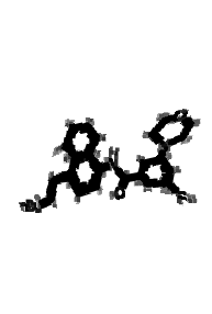 CCCC/C=C/c1ccc(NC(=O)c2cc(F)cc(N3CCOCC3)c2)c2ccccc12